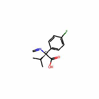 C=N[C@@](C(=O)O)(c1ccc(F)cc1)C(C)C